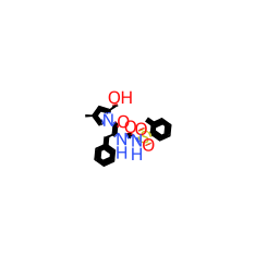 Cc1ccccc1S(=O)(=O)NC(=O)N[C@@H](Cc1ccccc1)C(=O)N1C[C@@H](C)C[C@H]1CO